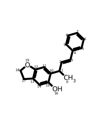 CC(C=Cc1ccccc1)c1cc2c(cc1O)CCO2